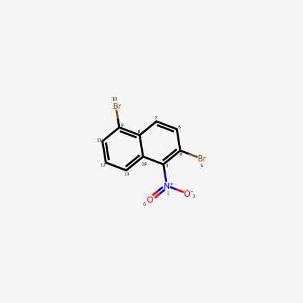 O=[N+]([O-])c1c(Br)ccc2c(Br)cccc12